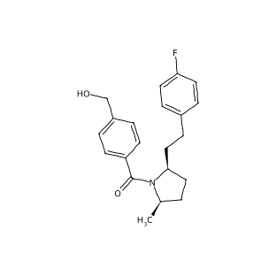 C[C@@H]1CC[C@H](CCc2ccc(F)cc2)N1C(=O)c1ccc(CO)cc1